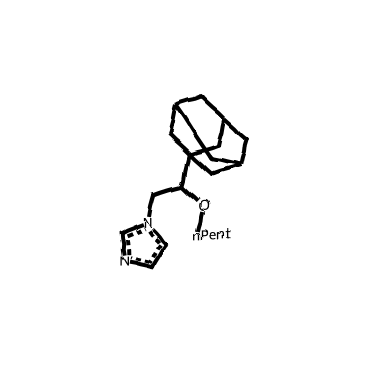 CCCCCOC(Cn1ccnc1)C12CC3CC(CC(C3)C1)C2